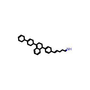 N=CCC/C=C/C1C=CC(C2CCC(C3CC=C(C4CC=CCC4)CC3)=C3C=CC=CC32)=CC1